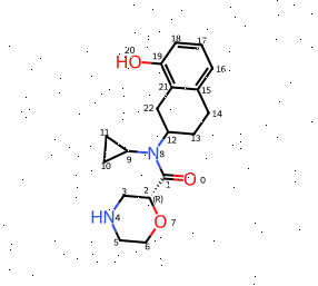 O=C([C@H]1CNCCO1)N(C1CC1)C1CCc2cccc(O)c2C1